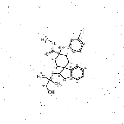 COC(=O)C1(Nc2cccc(Cl)c2)CCC2(CC1)c1ccccc1CC2CC(C)(C)CO